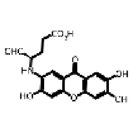 O=C[C@@H](CCC(=O)O)Nc1cc2c(=O)c3cc(O)c(O)cc3oc2cc1O